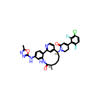 Cc1nnc(Nc2ccc3c(c2)NC(=O)[C@H](C)CCC[C@H](N2CCC(c4c(F)ccc(Cl)c4F)=CC2=O)c2ccnc-3c2)o1